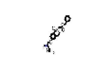 NC/C(=C\F)COc1ccc2c(c1)CCN(CC(=O)OCc1ccccc1)C2=O